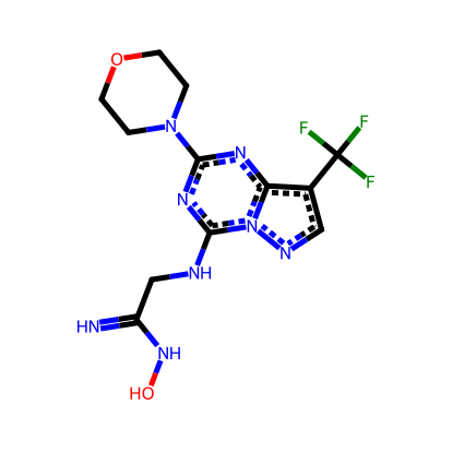 N=C(CNc1nc(N2CCOCC2)nc2c(C(F)(F)F)cnn12)NO